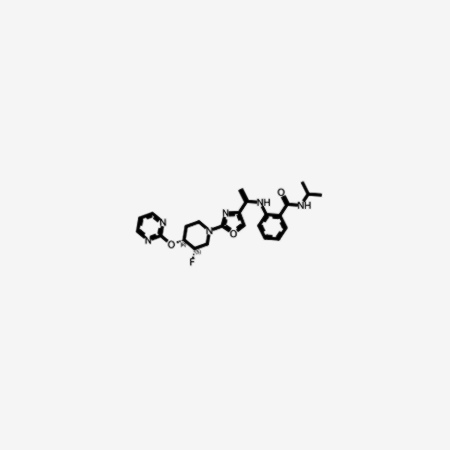 C=C(Nc1ccccc1C(=O)NC(C)C)c1coc(N2CC[C@@H](Oc3ncccn3)[C@@H](F)C2)n1